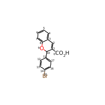 O=C(O)C1=Cc2ccccc2OC1c1ccc(Br)cc1